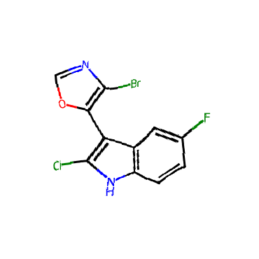 Fc1ccc2[nH]c(Cl)c(-c3ocnc3Br)c2c1